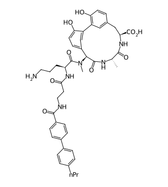 CCCc1ccc(-c2ccc(C(=O)NCCC(=O)N[C@@H](CCCN)C(=O)N(C)[C@@H]3C(=O)N[C@@H](C)C(=O)N[C@H](C(=O)O)Cc4ccc(O)c(c4)-c4cc3ccc4O)cc2)cc1